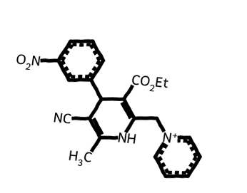 CCOC(=O)C1=C(C[n+]2ccccc2)NC(C)=C(C#N)C1c1cccc([N+](=O)[O-])c1